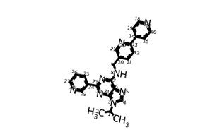 CC(C)n1cnc2c(NCc3ccc(-c4ccncc4)nc3)nc(-c3cccnc3)nc21